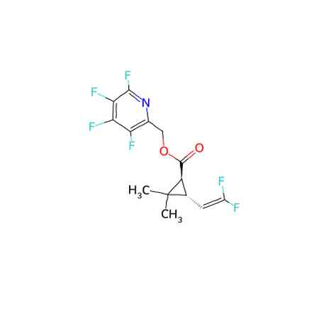 CC1(C)[C@@H](C=C(F)F)[C@@H]1C(=O)OCc1nc(F)c(F)c(F)c1F